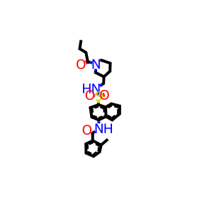 CCCC(=O)N1CCCC(CNS(=O)(=O)c2ccc(NC(=O)c3ccccc3C)c3ccccc23)C1